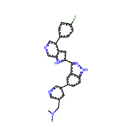 CN(C)Cc1cncc(-c2ccc3[nH]nc(-c4cc5c(-c6ccc(F)cc6)cncc5[nH]4)c3c2)c1